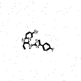 C=Cc1nc2ccc(Br)cn2c1N(C)c1nc(-c2ccc(F)cc2)cs1